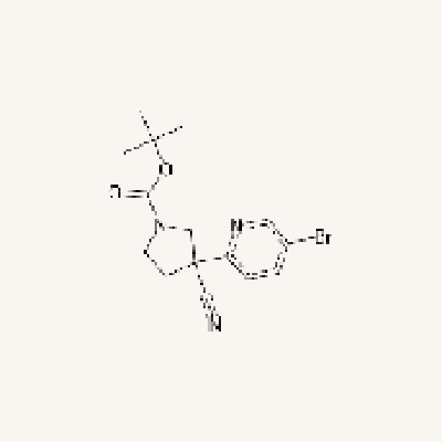 CC(C)(C)OC(=O)N1CCC(C#N)(c2ccc(Br)cn2)C1